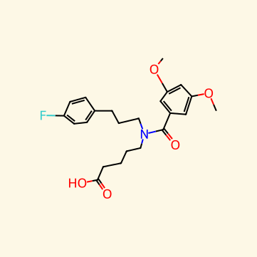 COc1cc(OC)cc(C(=O)N(CCCCC(=O)O)CCCc2ccc(F)cc2)c1